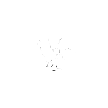 C=CCO[C@@H]1[C@@H](OCC=C)[C@H](O)O[C@H](COC)[C@@H]1OCC=C.Nc1ccc2c(c1)C(=O)N(CCCCCOP(N)(=O)O)C2=O